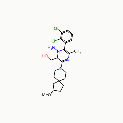 CO[C@@H]1CCC2(CCN(C3=NC(C)=C(c4cccc(Cl)c4Cl)N(N)C3CO)CC2)C1